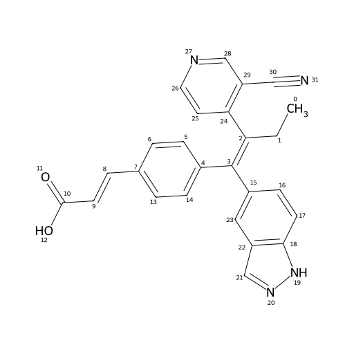 CC/C(=C(/c1ccc(/C=C/C(=O)O)cc1)c1ccc2[nH]ncc2c1)c1ccncc1C#N